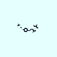 Cc1c(C)n2c(/C=C/c3ccc(NC(=O)OC(C)(C)C)cc3)c(C)c(=O)n2c1=O